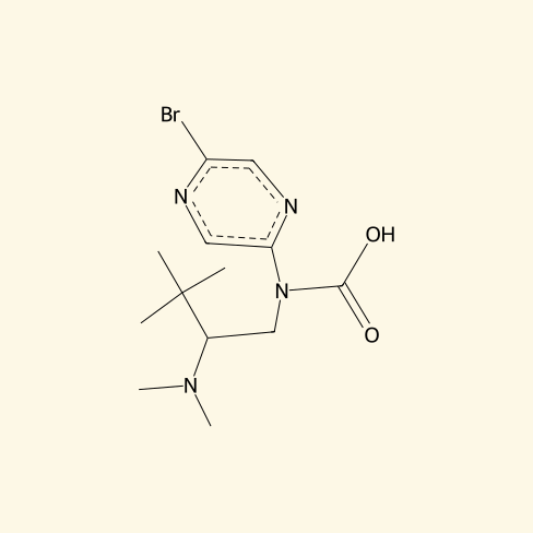 CN(C)C(CN(C(=O)O)c1cnc(Br)cn1)C(C)(C)C